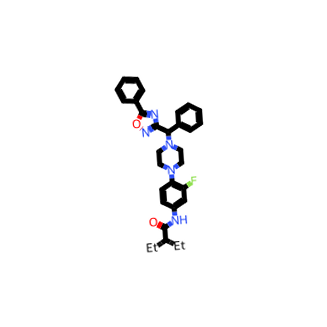 CCC(CC)C(=O)Nc1ccc(N2CCN(C(c3ccccc3)c3noc(-c4ccccc4)n3)CC2)c(F)c1